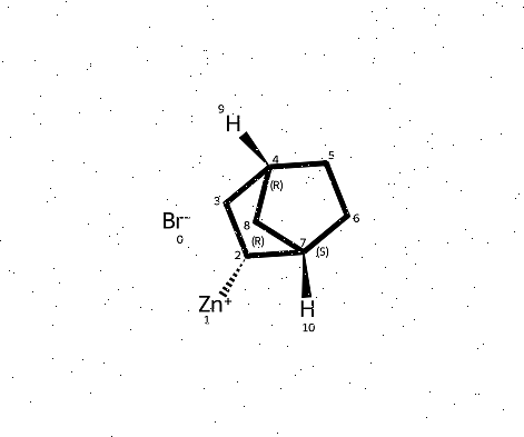 [Br-].[Zn+][C@@H]1C[C@@H]2CC[C@H]1C2